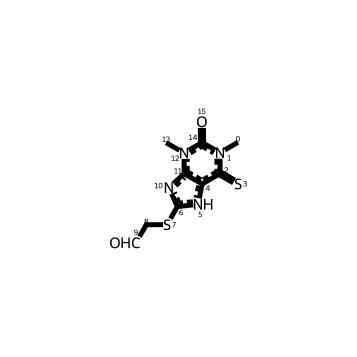 Cn1c(=S)c2[nH]c(SCC=O)nc2n(C)c1=O